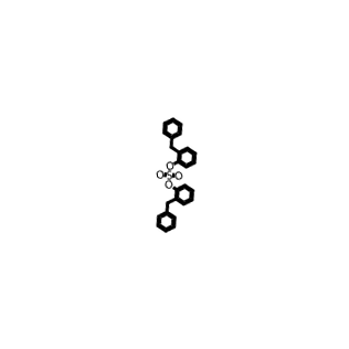 O=S(=O)(Oc1ccccc1Cc1ccccc1)Oc1ccccc1Cc1ccccc1